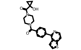 O=C(c1ccc(-c2nccc3sccc23)cc1)N1CCN(C(=O)C2(O)CC2)CC1